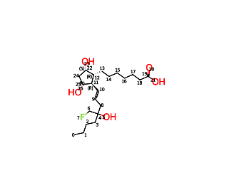 CCCCC(O)(CF)CC=C[C@@H]1[C@@H](CCCCCCC(=O)O)[C@@H](O)C[C@H]1O